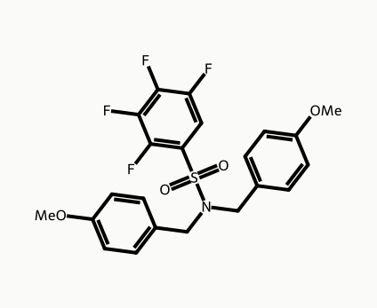 COc1ccc(CN(Cc2ccc(OC)cc2)S(=O)(=O)c2cc(F)c(F)c(F)c2F)cc1